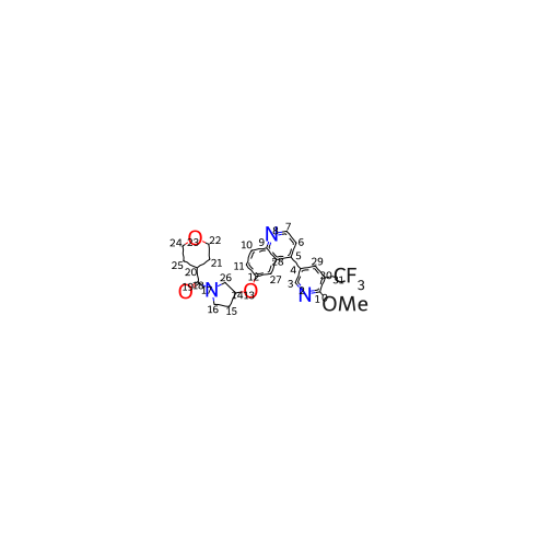 COc1ncc(-c2ccnc3ccc(OC4CCN(C(=O)C5CCOCC5)C4)cc23)cc1C(F)(F)F